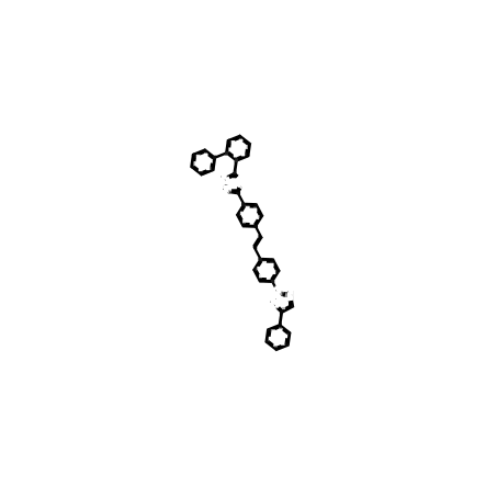 C(=Cc1ccc(-n2ncc(-c3ccccc3)n2)cc1)c1ccc(-c2nnc(-c3ccccc3-c3ccccc3)o2)cc1